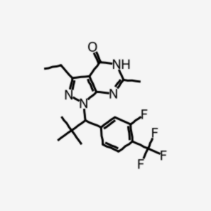 CCc1nn(C(c2ccc(C(F)(F)F)c(F)c2)C(C)(C)C)c2nc(C)[nH]c(=O)c12